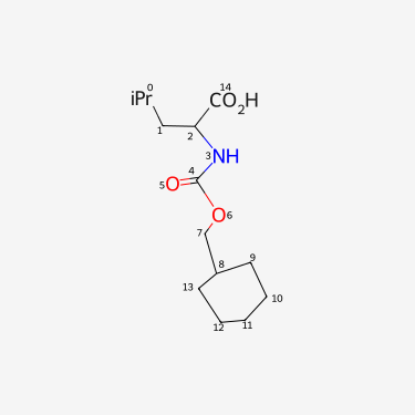 CC(C)CC(NC(=O)OCC1CCCCC1)C(=O)O